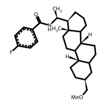 COC[C@H]1CC[C@H]2C(CC[C@@H]3C2CC[C@@]2(C)C3CCC[C@@H]2[C@H](C)NC(=O)c2ccc(F)cc2)C1